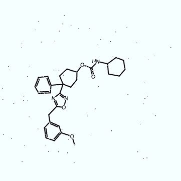 COc1cccc(Cc2nc(C3(c4ccccc4)CCC(OC(=O)NC4CCCCC4)CC3)no2)c1